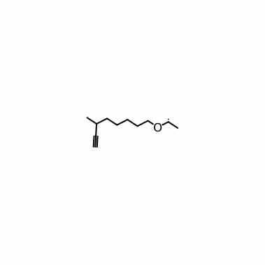 C#CC(C)CCCCCO[CH]C